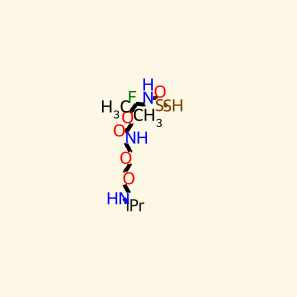 CC(C)NCCOCCOCCNC(=O)COC(C)(C)C(F)CNC(=O)SS